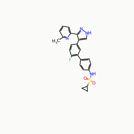 Cc1cccc(-c2n[nH]cc2-c2ccc(F)c(-c3ccc(NS(=O)(=O)C4CC4)cc3)c2)n1